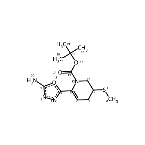 CSC1CC=C(c2nnc(N)o2)N(C(=O)OC(C)(C)C)C1